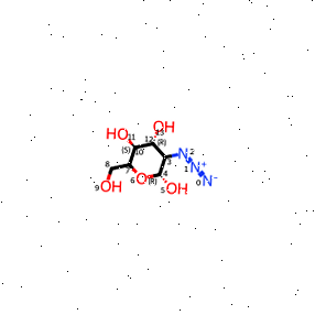 [N-]=[N+]=NC1[C@H](O)OC(CO)[C@@H](O)[C@@H]1O